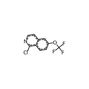 FC(F)(F)Oc1ccc2c(Cl)nccc2c1